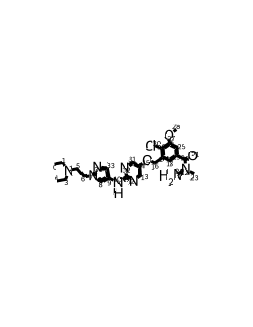 CCN(CC)CCn1cc(Nc2ncc(OCc3cc(C(=O)N(C)N)cc(OC)c3Cl)cn2)cn1